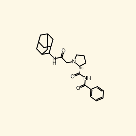 O=C(CN1CCC[C@@H]1C(=O)NC(=O)c1ccccc1)NC1C2CC3CC(C2)CC1C3